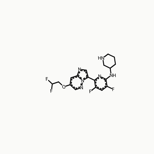 Fc1cc(F)c(-c2cnc3cc(OCC(F)F)cnn23)nc1NC1CCCNC1